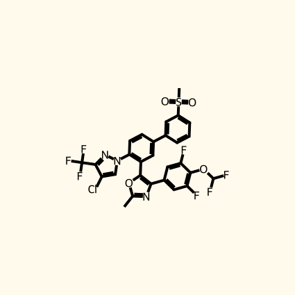 Cc1nc(-c2cc(F)c(OC(F)F)c(F)c2)c(-c2cc(-c3cccc(S(C)(=O)=O)c3)ccc2-n2cc(Cl)c(C(F)(F)F)n2)o1